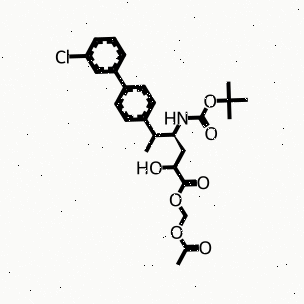 CC(=O)OCOC(=O)C(O)C[C@H](NC(=O)OC(C)(C)C)C(C)c1ccc(-c2cccc(Cl)c2)cc1